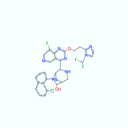 OC1C2CNC(c3nc(OCCc4nccn4C(F)F)nc4c(F)cncc34)C(N2)C1c1cccc2cccc(Cl)c12